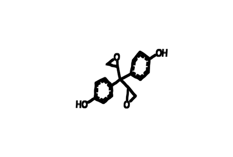 Oc1ccc(C(c2ccc(O)cc2)(C2CO2)C2CO2)cc1